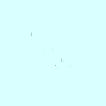 NC1(c2ncc(C(=O)N[C@H]3C4CC5CC3C[C@@](O)(C5)C4)c(C3CCCC3)n2)CC1